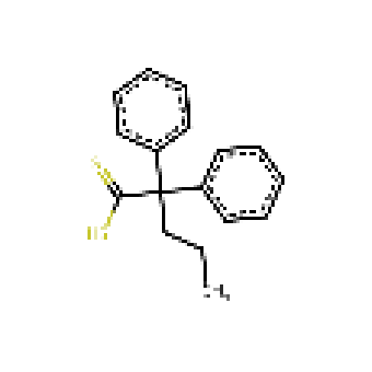 CCCC(C(=S)S)(c1ccccc1)c1ccccc1